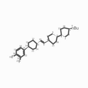 CCCC[C@H]1CC[C@H]([C@H]2CC[C@H](C=C[C@H]3CC[C@H](c4ccc(F)c(F)c4)CC3)CC2)CC1